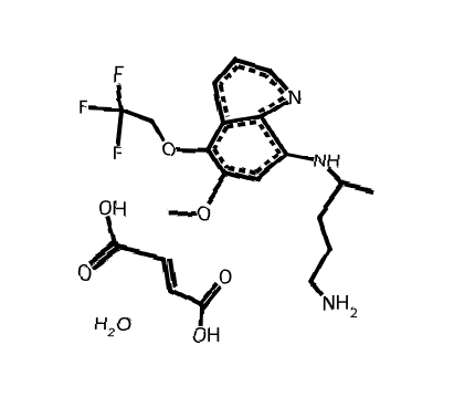 COc1cc(NC(C)CCCN)c2ncccc2c1OCC(F)(F)F.O.O=C(O)/C=C/C(=O)O